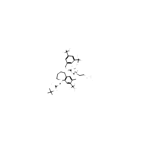 Cc1cc2c(cc1C(F)(F)F)N(OC(=O)OC(C)(C)C)CCC[C@@H]2N(Cc1cc(C(F)(F)F)cc(C(F)(F)F)c1)c1nnn(CCN)n1